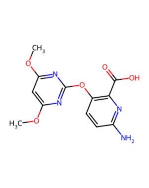 COc1cc(OC)nc(Oc2ccc(N)nc2C(=O)O)n1